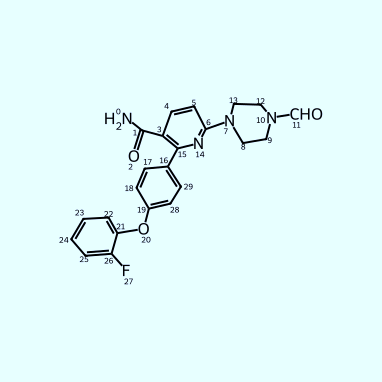 NC(=O)c1ccc(N2CCN(C=O)CC2)nc1-c1ccc(Oc2ccccc2F)cc1